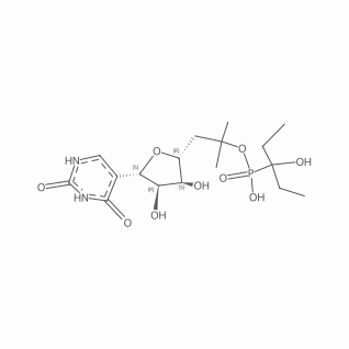 CCC(O)(CC)P(=O)(O)OC(C)(C)C[C@H]1O[C@@H](c2c[nH]c(=O)[nH]c2=O)[C@H](O)[C@@H]1O